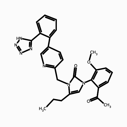 CCCc1cn(-c2c(OC)cccc2C(C)=O)c(=O)n1Cc1ccc(-c2ccccc2-c2nnn[nH]2)cn1